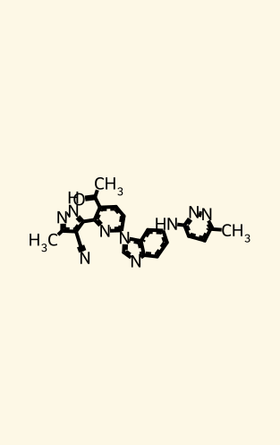 CC(=O)c1ccc(-n2cnc3ccc(Nc4ccc(C)nn4)cc32)nc1-c1[nH]nc(C)c1C#N